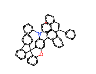 C(=C(\c1ccccc1)c1ccc(-c2cc3c(cc2N(c2ccccc2)c2ccccc2)C2(c4ccccc4O3)c3ccccc3-c3ccccc32)c2ccccc12)/c1ccccc1